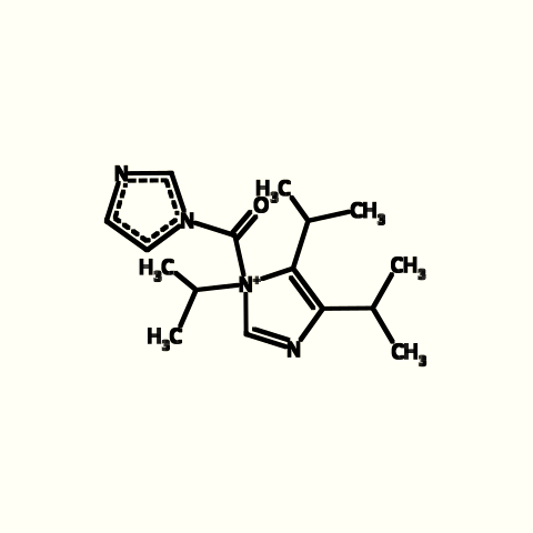 CC(C)C1=C(C(C)C)[N+](C(=O)n2ccnc2)(C(C)C)C=N1